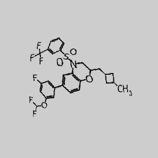 C[C@H]1C[C@@H](CC2CN(S(=O)(=O)c3cccc(C(F)(F)F)c3)c3cc(-c4cc(F)cc(OC(F)F)c4)ccc3O2)C1